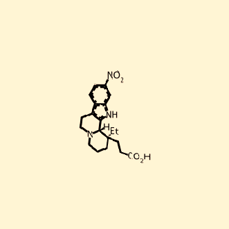 CC[C@]1(CCC(=O)O)CCCN2CCc3c([nH]c4cc([N+](=O)[O-])ccc34)[C@@H]21